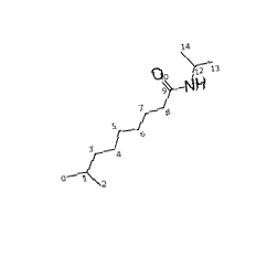 CC(C)CCCCCCC(=O)NC(C)C